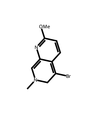 COc1ccc2c(n1)=CN(C)CC=2Br